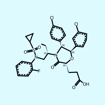 CC[C@@H](CN(c1ccccc1F)S(=O)(=O)C1CC1)N1C(=O)[C@@H](CCC(=O)O)O[C@H](c2cccc(Cl)c2)[C@H]1c1ccc(Cl)cc1